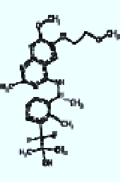 COCCOc1cc2c(N[C@H](C)c3cccc(C(F)(F)C(C)(C)O)c3C)nc(C)nc2cc1OC